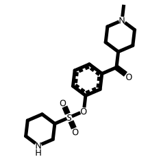 CN1CCC(C(=O)c2cccc(OS(=O)(=O)C3CCCNC3)c2)CC1